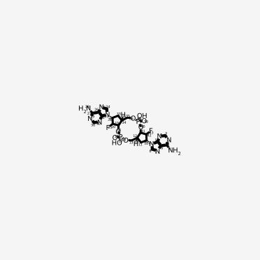 Nc1ncnc2c1ncn2[C@@H]1C[C@@H]2COP(=O)(O)OC3C(F)[C@H](n4cnc5c(N)ncnc54)C[C@@H]3COP(=O)(O)OC2C1F